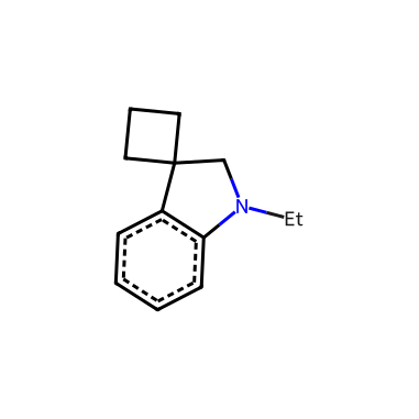 [CH2]CN1CC2(CCC2)c2ccccc21